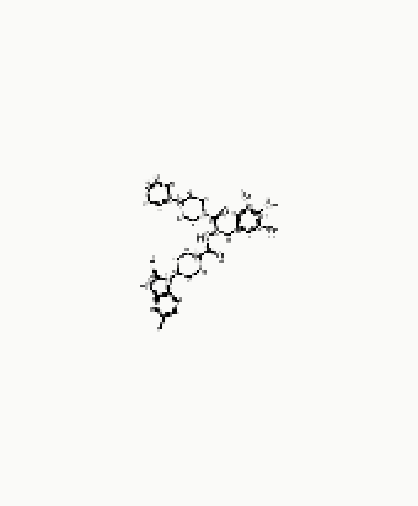 Cc1ccc2c(c1)[nH]c(=O)n2C1CCN(C(=O)N[C@H](Cc2cc(Br)c(O)c(Br)c2)C(=O)N2CCN(c3ccncc3)CC2)CC1